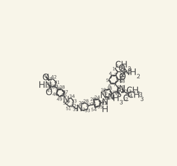 CCC(c1cccc(-c2nc(C(C)(C)C)sc2-c2ccnc(Nc3ccc(C4CCN(CC5CCN(c6ccc([C@@H]7CCC(=O)NC7=O)cc6)CC5)CC4)cc3)n2)c1F)S(N)(=O)=O